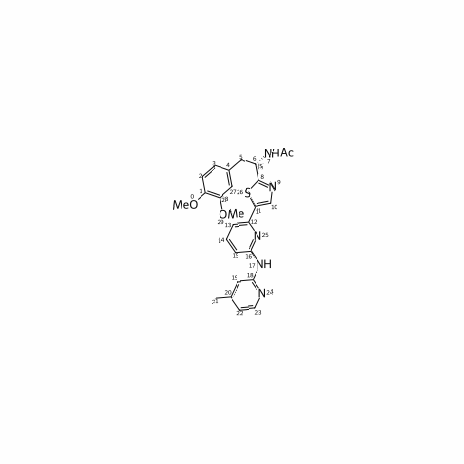 COc1ccc(C[C@H](NC(C)=O)c2ncc(-c3cccc(Nc4cc(C)ccn4)n3)s2)cc1OC